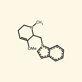 COC1=CCCN(C)C1Cn1ccc2ccccc21